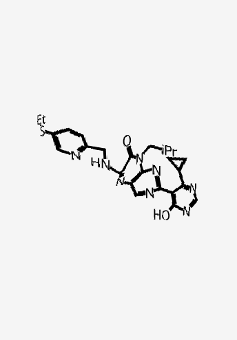 CCSc1ccc(CNc2nc3cnc(-c4c(O)ncnc4C4CC4)nc3n(CC(C)C)c2=O)nc1